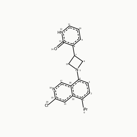 CC(C)c1ccc(N2CC(c3ccc[nH]c3=O)C2)c2cnc(Cl)cc12